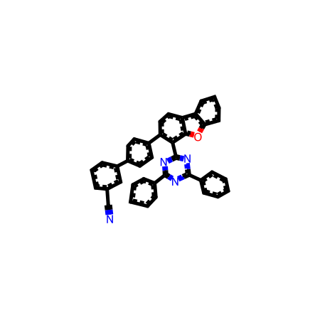 N#Cc1cccc(-c2ccc(-c3ccc4c(oc5ccccc54)c3-c3nc(-c4ccccc4)nc(-c4ccccc4)n3)cc2)c1